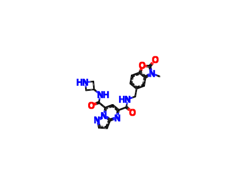 Cn1c(=O)oc2ccc(CNC(=O)c3cc(C(=O)NC4CNC4)n4nccc4n3)cc21